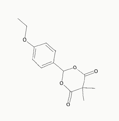 CCOc1ccc(C2OC(=O)C(C)(C)C(=O)O2)cc1